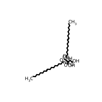 CCCCCCCCC=CCCCCCCCC(=O)NC(CC)(NC(=O)CCCCCCCC=CCCCCCCCC)C(CC(=O)O)C(=O)O